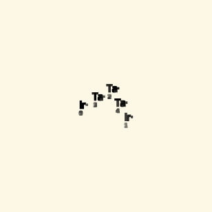 [Ir].[Ir].[Ta].[Ta].[Ta]